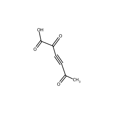 CC(=O)C#CC(=O)C(=O)O